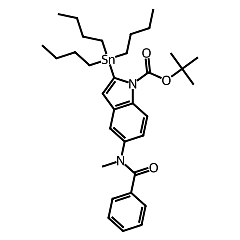 CCC[CH2][Sn]([CH2]CCC)([CH2]CCC)[c]1cc2cc(N(C)C(=O)c3ccccc3)ccc2n1C(=O)OC(C)(C)C